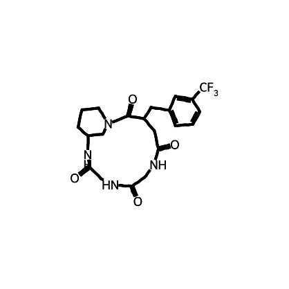 O=C1CNC(=O)CC(Cc2cccc(C(F)(F)F)c2)C(=O)N2CCCC(C2)NC(=O)CN1